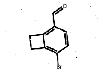 O=Cc1ccc(Br)c2c1CC2